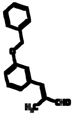 CC(C=O)=Cc1cccc(OCc2ccccc2)c1